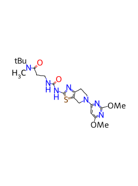 COc1cc(N2CCc3nc(NC(=O)NCCC(=O)N(C)C(C)(C)C)sc3C2)nc(OC)n1